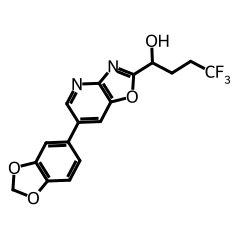 OC(CCC(F)(F)F)c1nc2ncc(-c3ccc4c(c3)OCO4)cc2o1